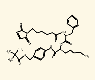 CC(C)(C)C(=O)OCc1ccc(NC(=O)[C@H](CCCCN)NC(=O)[C@H](Cc2ccccc2)NC(=O)CCCCCN2C(=O)C=CC2=O)cc1